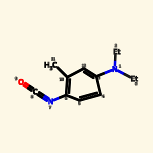 CCN(CC)c1ccc(N=C=O)c(C)c1